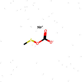 CSOC(=O)[O-].[Na+]